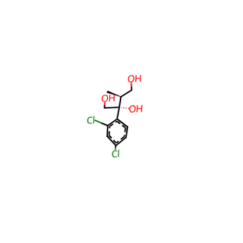 C[C@@H](CO)[C@](O)(CO)c1ccc(Cl)cc1Cl